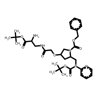 CC(C)(C)OC(=O)C(N)CNC(=O)COC1CC(CN(C(=O)OC(C)(C)C)c2ccccn2)N(C(=O)OCc2ccccc2)C1